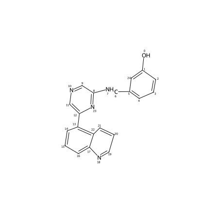 Oc1cccc(CNc2cncc(-c3cccc4ncccc34)n2)c1